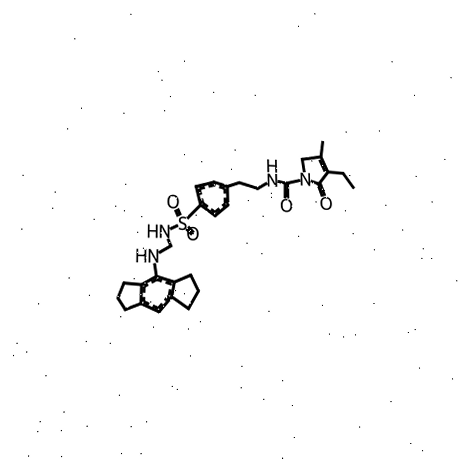 CCC1=C(C)CN(C(=O)NCCc2ccc(S(=O)(=O)NCNc3c4c(cc5c3CCC5)CCC4)cc2)C1=O